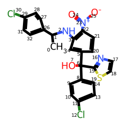 CC(Nc1cc(C(O)(c2ccc(Cl)cc2)c2nccs2)ccc1[N+](=O)[O-])c1ccc(Cl)cc1